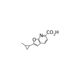 CC1CC1c1cc2ccc(C(=O)O)nc2o1